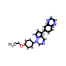 CCO[C@H]1CC[C@@H](N2CN=Cc3c(-c4ccc5nccnc5c4)ccn32)CC1